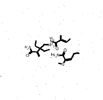 C/C=C(\C)C(N)=O.C=C(C(N)=O)C(CC)(CC)CN.CC/C=C(/OC)C(N)=O